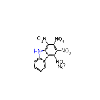 O=[N+]([O-])c1c([N+](=O)[O-])c([N+](=O)[O-])c2c([nH]c3ccccc32)c1[N+](=O)[O-].[Na]